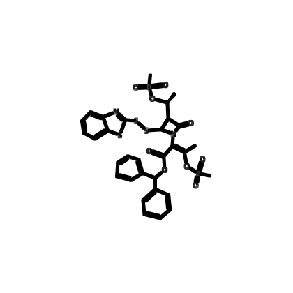 C/C(OS(C)(=O)=O)=C(/C(=O)OC(c1ccccc1)c1ccccc1)N1C(=O)C([C@H](C)OS(C)(=O)=O)C1SSc1nc2ccccc2s1